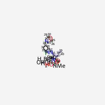 BC(B)(C=O)C(B)(B)C(O)(C(=O)NC)N1CC(=C\NCc2cc(CN3CC(C)(C)OC(C)(C)C3)ccc2F)/C(=C\C=C/C)C1=O